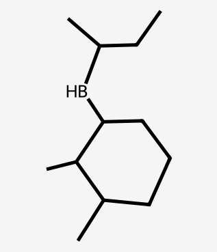 CCC(C)BC1CCCC(C)C1C